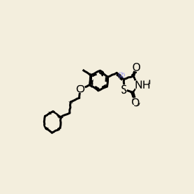 Cc1cc(/C=C2\SC(=O)NC2=O)ccc1OCCCC1CCCCC1